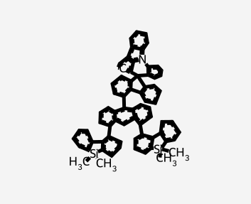 C[Si]1(C)c2ccccc2-c2c(-c3cccc4c(-c5cccc6c5-c5ccccc5C65c6ccccc6-n6c7ccccc7c7cccc5c76)c5cccc(-c6cccc7c6-c6ccccc6[Si]7(C)C)c5cc34)cccc21